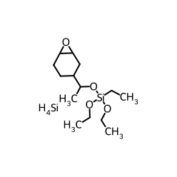 CCO[Si](CC)(OCC)OC(C)C1CCC2OC2C1.[SiH4]